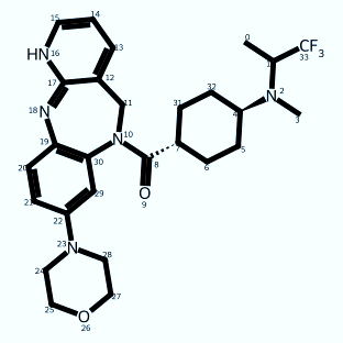 CC(N(C)[C@H]1CC[C@H](C(=O)N2CC3=CC=CNC3=Nc3ccc(N4CCOCC4)cc32)CC1)C(F)(F)F